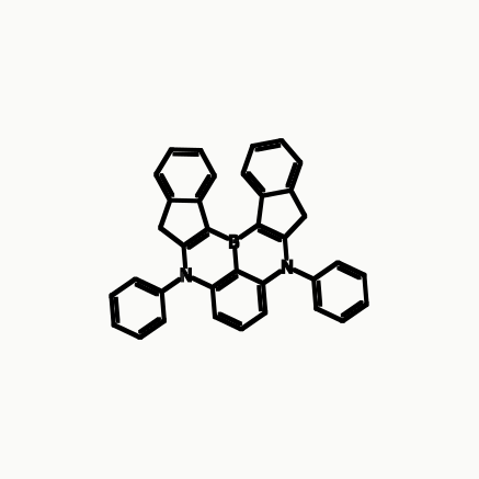 c1ccc(N2C3=C(B4C5=C(Cc6ccccc65)N(c5ccccc5)c5cccc2c54)c2ccccc2C3)cc1